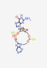 Nc1nc2c(ncn2[C@@H]2O[C@@H]3COC(S)OCCn4c(nc5cncnc54)COP(=O)(S)O[C@@H]2[C@@H]3F)c(=O)[nH]1